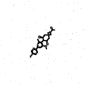 COc1cc(-c2ncc(F)cn2)cc(C)c1C1C(=O)CC2(CC1=O)CN(C(C)=O)C2